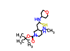 CNC1CCN(C(=O)OC(C)(C)C)CC1CC(S)NC1CCOCC1